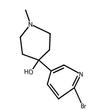 CN1CCC(O)(c2ccc(Br)nc2)CC1